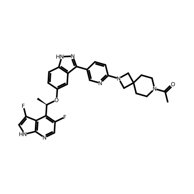 CC(=O)N1CCC2(CC1)CN(c1ccc(-c3n[nH]c4ccc(O[C@H](C)c5c(F)cnc6[nH]cc(F)c56)cc34)cn1)C2